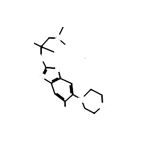 CN(C)CC(C)(C)Sc1nc2cc(Cl)c(N3CCNCC3)cc2[nH]1.Cl.Cl.Cl